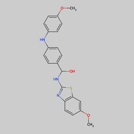 COc1ccc(Nc2ccc(C(O)Nc3nc4ccc(OC)cc4s3)cc2)cc1